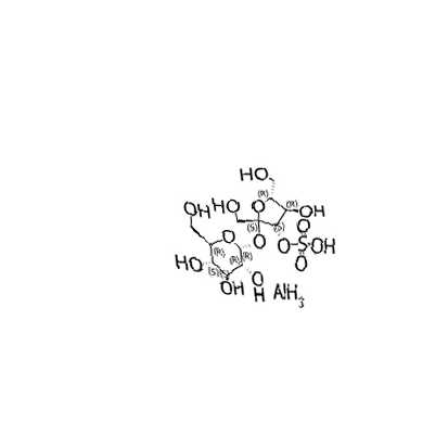 O=S(=O)(O)O[C@H]1[C@H](O)[C@@H](CO)O[C@@]1(CO)O[C@H]1O[C@H](CO)[C@@H](O)[C@H](O)[C@H]1O.[AlH3]